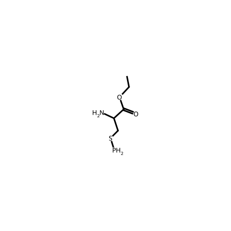 CCOC(=O)C(N)CSP